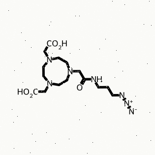 [N-]=[N+]=NCCCNC(=O)CN1CCN(CC(=O)O)CCN(CC(=O)O)CC1